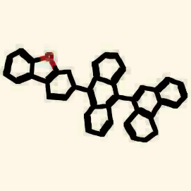 C1=Cc2c(-c3c4ccccc4c(C4C=Cc5c(oc6ccccc56)C4)c4ccccc34)cc3ccccc3c2CC1